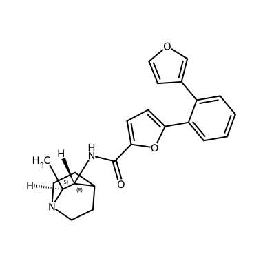 C[C@H]1[C@H](NC(=O)c2ccc(-c3ccccc3-c3ccoc3)o2)C2CCN1CC2